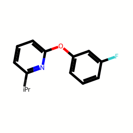 CC(C)c1cccc(Oc2cccc(F)c2)n1